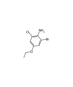 CCOc1cc(Cl)c(N)c(Br)c1